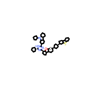 c1ccc([C@H]2N=C(c3cccc4c3oc3cc(-c5ccc(-c6ccc7c(c6)sc6ccccc67)cc5)ccc34)N=C(c3ccc4c5ccccc5n(-c5ccccc5)c4c3)N2)cc1